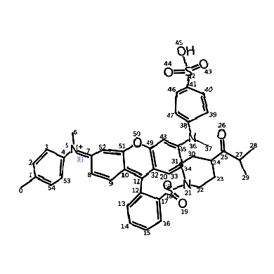 Cc1ccc(/[N+](C)=c2\ccc3c(-c4ccccc4S(=O)(=O)N4CCC(C(=O)C(C)C)CC4)c4ccc(N(C)c5ccc(S(=O)(=O)O)cc5)cc4oc-3c2)cc1